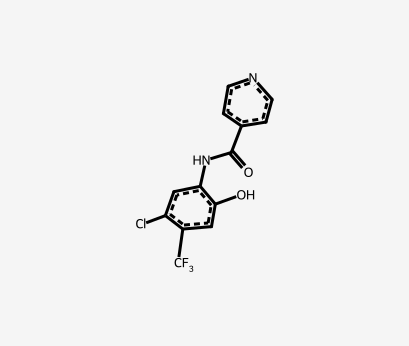 O=C(Nc1cc(Cl)c(C(F)(F)F)cc1O)c1ccncc1